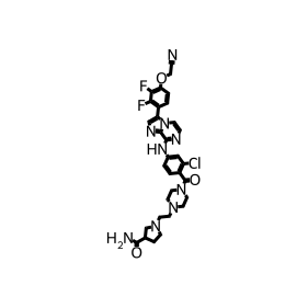 N#CCOc1ccc(-c2cnc3c(Nc4ccc(C(=O)N5CCN(CCN6CCC(C(N)=O)C6)CC5)c(Cl)c4)nccn23)c(F)c1F